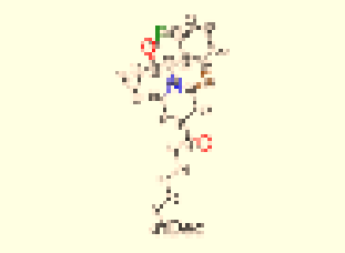 CCCCCCCCCCCCCCCC(=O)C1CCN(C(C(=O)C2CC2)c2ccccc2F)C(=S)C1